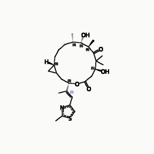 C/C(=C\c1csc(C)n1)[C@@H]1CC2C[C@@H]2CCC[C@H](C)[C@H](O)[C@@H](C)C(=O)C(C)(C)[C@@H](O)CC(=O)O1